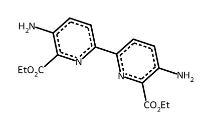 CCOC(=O)c1nc(-c2ccc(N)c(C(=O)OCC)n2)ccc1N